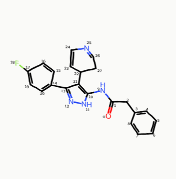 O=C(Cc1ccccc1)Nc1[nH]nc(-c2ccc(F)cc2)c1C1C=CN=CC1